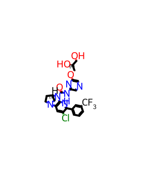 O=C(Nc1cncc(OC[C@H](O)CO)n1)N1c2nc(-c3cccc(C(F)(F)F)c3)c(Cl)cc2N2CC[C@H]1C2